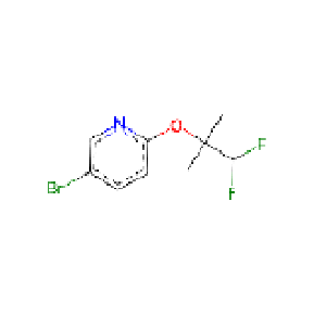 CC(C)(Oc1ccc(Br)cn1)C(F)F